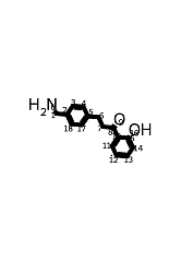 NCc1ccc(CCC(=O)c2c[c]ccc2O)cc1